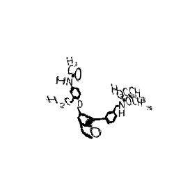 [CH2]Cc1cc(NC(C)=O)ccc1OCc1cc(-c2cccc(CNC(=O)OC(C)(C)C)c2)c2occc2c1